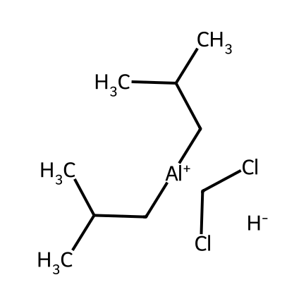 CC(C)[CH2][Al+][CH2]C(C)C.ClCCl.[H-]